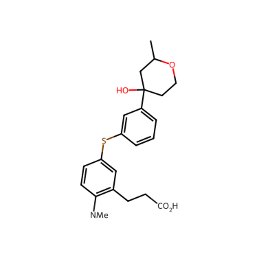 CNc1ccc(Sc2cccc(C3(O)CCOC(C)C3)c2)cc1CCC(=O)O